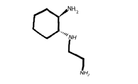 NCCN[C@@H]1CCCC[C@H]1N